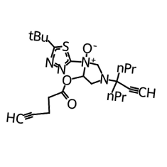 C#CCCC(=O)OC1CN(C(C#C)(CCC)CCC)C[N+]1([O-])c1nnc(C(C)(C)C)s1